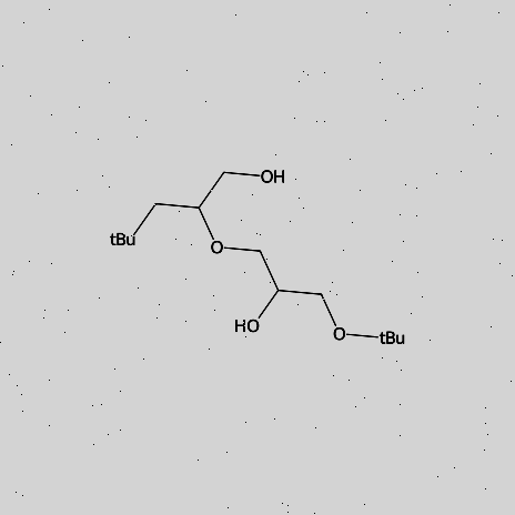 CC(C)(C)CC(CO)OCC(O)COC(C)(C)C